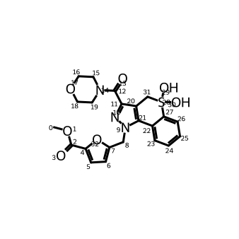 COC(=O)c1ccc(Cn2nc(C(=O)N3CCOCC3)c3c2-c2ccccc2S(O)(O)C3)o1